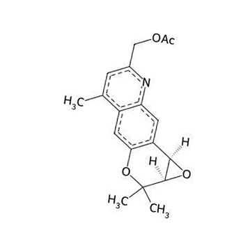 CC(=O)OCc1cc(C)c2cc3c(cc2n1)[C@H]1O[C@H]1C(C)(C)O3